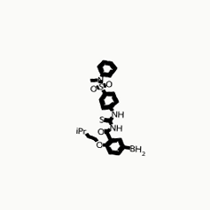 Bc1ccc(OCCC(C)C)c(C(=O)NC(=S)Nc2ccc(S(=O)(=O)N(C)c3ccccc3)cc2)c1